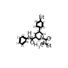 CCc1ccc(C2CC(C(=O)Nc3ccccc3)CN(C(=O)N(C)CC)C2)cc1